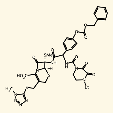 CCN1CCN(C(=O)NC(C(=O)N[C@]2(SC)C(=O)N3C(C(=O)O)=C(CSc4nnnn4C)CS[C@@H]32)c2ccc(OC(=O)OCc3ccccc3)cc2)C(=O)C1=O